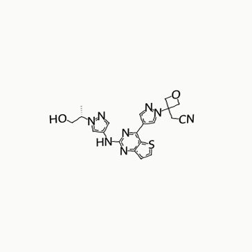 C[C@@H](CO)n1cc(Nc2nc(-c3cnn(C4(CC#N)COC4)c3)c3sccc3n2)cn1